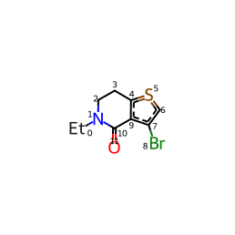 CCN1CCc2scc(Br)c2C1=O